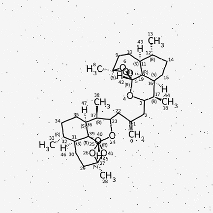 C=C(CC1O[C@@H]2O[C@]3(C)CC[C@H]4[C@H](C)CC[C@@H]([C@H]1C)[C@@]24OO3)CC1O[C@@H]2O[C@]3(C)CC[C@H]4[C@H](C)CC[C@@H]([C@H]1C)[C@@]24OO3